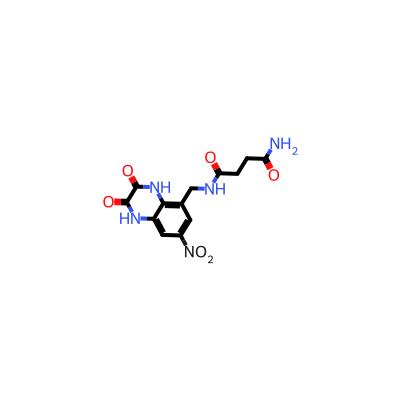 NC(=O)CCC(=O)NCc1cc([N+](=O)[O-])cc2[nH]c(=O)c(=O)[nH]c12